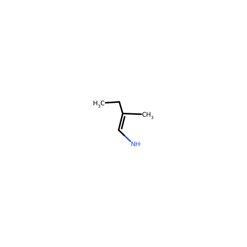 CCC(C)=C[NH]